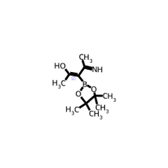 CC(=N)/C(B1OC(C)(C)C(C)(C)O1)=C(/C)O